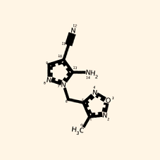 Cc1nonc1Cn1ncc(C#N)c1N